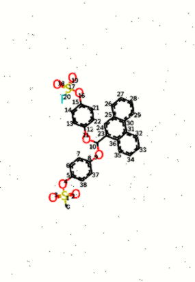 CS(=O)(=O)Oc1ccc(OC(Oc2ccc(OS(=O)(=O)F)cc2)c2cc3ccccc3c3ccccc23)cc1